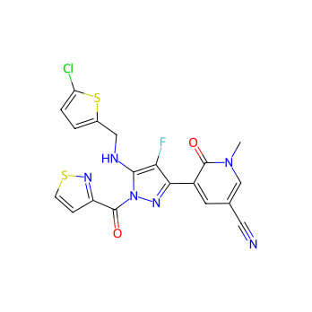 Cn1cc(C#N)cc(-c2nn(C(=O)c3ccsn3)c(NCc3ccc(Cl)s3)c2F)c1=O